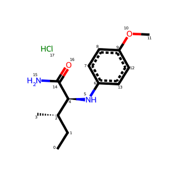 CC[C@H](C)[C@H](Nc1ccc(OC)cc1)C(N)=O.Cl